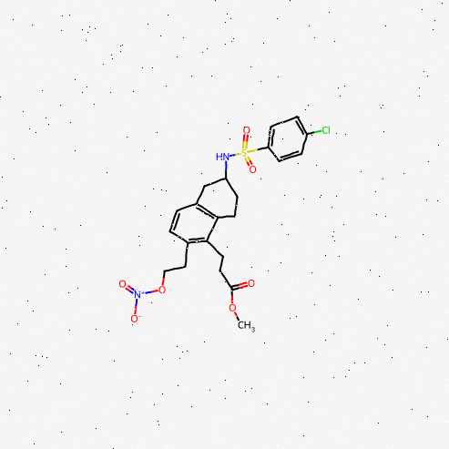 COC(=O)CCc1c(CCO[N+](=O)[O-])ccc2c1CCC(NS(=O)(=O)c1ccc(Cl)cc1)C2